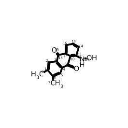 Cc1cc2c(cc1C)C(=O)c1c(NO)cccc1C2=O